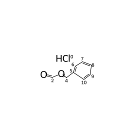 Cl.O=COCc1ccccc1